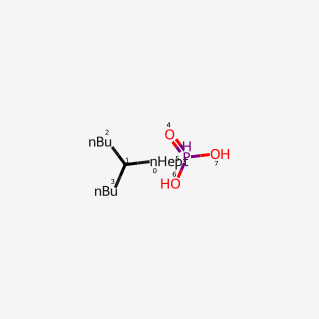 CCCCCCCC(CCCC)CCCC.O=[PH](O)O